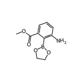 COC(=O)c1cccc(N)c1B1OCCO1